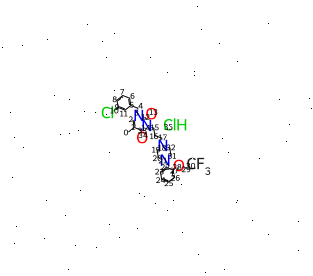 Cc1cn(Cc2cccc(Cl)c2)c(=O)n(CCCN2CCN(c3ccccc3OCC(F)(F)F)CC2)c1=O.Cl